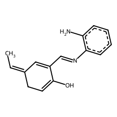 CC=C1C=C(C=Nc2ccccc2N)C(O)=CC1